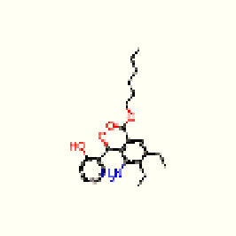 CCCCCCOC(=O)c1cc(CC)c(CC)c(N)c1C(=O)c1ccccc1O